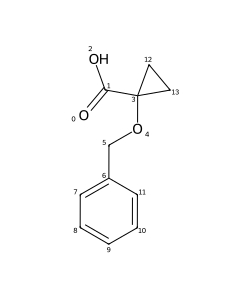 O=C(O)C1(OCc2ccccc2)CC1